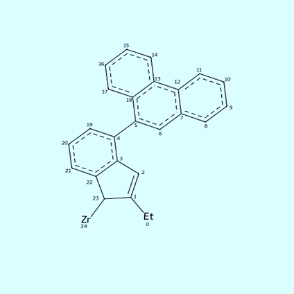 CCC1=Cc2c(-c3cc4ccccc4c4ccccc34)cccc2[CH]1[Zr]